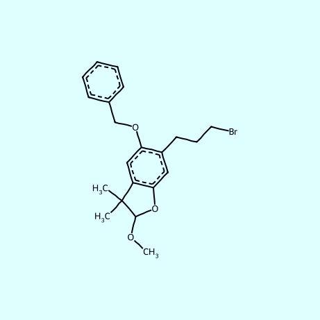 COC1Oc2cc(CCCBr)c(OCc3ccccc3)cc2C1(C)C